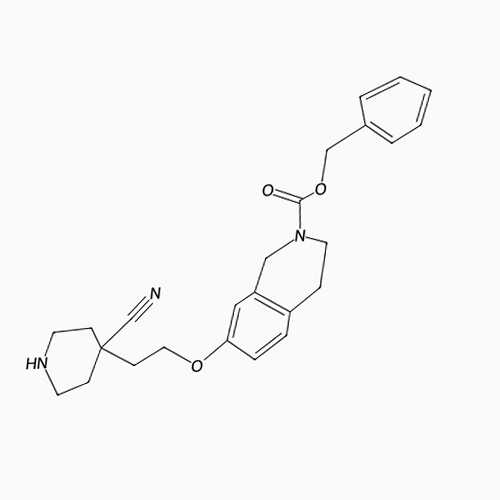 N#CC1(CCOc2ccc3c(c2)CN(C(=O)OCc2ccccc2)CC3)CCNCC1